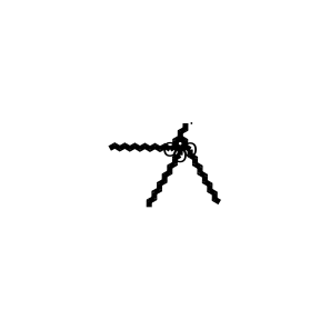 [CH2]CCc1cc(OCCCCCCCCCCCC)c(OCCCCCCCCCCCC)c(OCCCCCCCCCCCC)c1